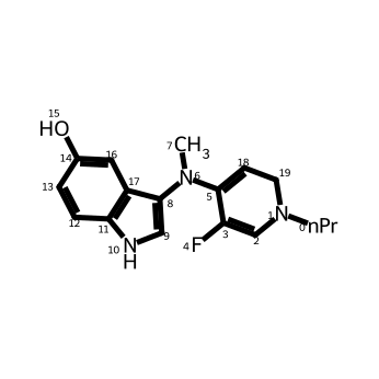 CCCN1C=C(F)C(N(C)c2c[nH]c3ccc(O)cc23)=CC1